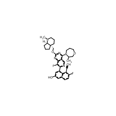 C#Cc1c(F)ccc2cc(O)cc(-c3ncc4c(N5CCCOCC5C)nc(OC[C@]56CCC[C@H]5N(C)CCC6)nc4c3F)c12